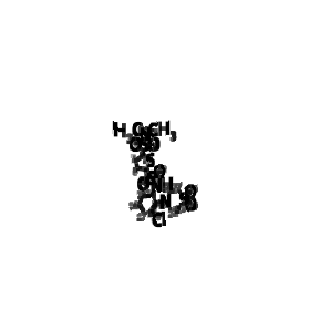 CN(C)S(=O)(=O)c1ccc(S(=O)(=O)Nc2cccc(Cl)c2N2CCS(=O)(=O)CC2)s1